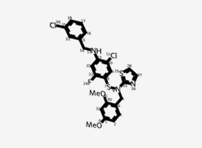 COc1ccc(CN(Sc2cc(Cl)c(NCc3cccc(Cl)c3)cc2F)c2nccs2)c(OC)c1